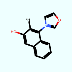 [2H]c1c(O)cc2ccccc2c1-[n+]1ccoc1